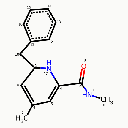 CNC(=O)C1=CC(C)=CC(Cc2ccccc2)N1